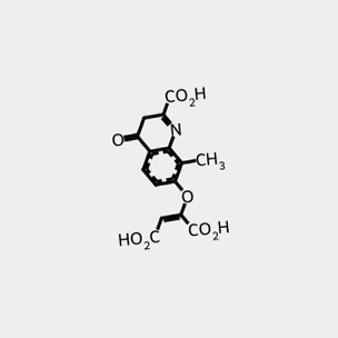 Cc1c(OC(=CC(=O)O)C(=O)O)ccc2c1N=C(C(=O)O)CC2=O